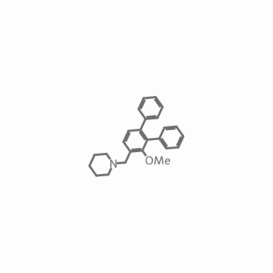 COc1c(CN2CCCCC2)ccc(-c2ccccc2)c1-c1ccccc1